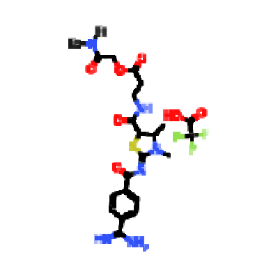 CCN(CC)C(=O)COC(=O)CCNC(=O)C1SC(=NC(=O)c2ccc(C(=N)N)cc2)N(C)C1C.O=C(O)C(F)(F)F